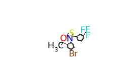 CCc1cc(Br)ccc1N1C(=O)CSC1c1cccc(C(F)(F)F)c1